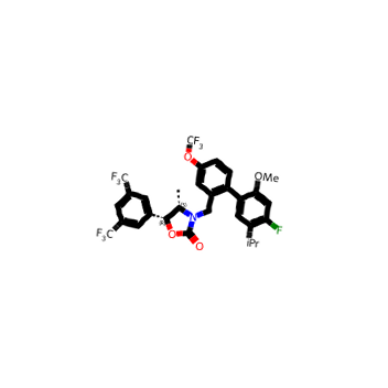 COc1cc(F)c(C(C)C)cc1-c1ccc(OC(F)(F)F)cc1CN1C(=O)O[C@H](c2cc(C(F)(F)F)cc(C(F)(F)F)c2)[C@@H]1C